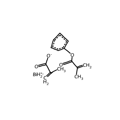 C=C(C)C(=O)Oc1ccccc1.C=C(C)C(=O)[O-].[BiH2+]